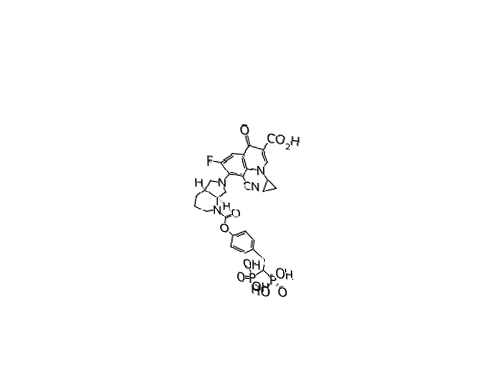 N#Cc1c(N2C[C@@H]3CCCN(C(=O)Oc4ccc(CC(P(=O)(O)O)P(=O)(O)O)cc4)[C@@H]3C2)c(F)cc2c(=O)c(C(=O)O)cn(C3CC3)c12